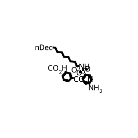 CCCCCCCCCCCCCCCCCC(=O)NS(=O)(=O)c1ccc(N)cc1.O=C(O)c1cccc(C(=O)O)c1